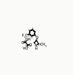 C[C@@H]1NC[C@H]1Oc1cccc(C(F)(F)F)c1.O=C(O)C(=O)O